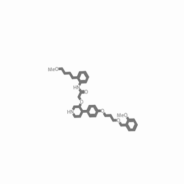 COCCCCc1ccccc1NC(=O)COC1CNCCC1c1ccc(OCCCOCc2ccccc2OC)cc1